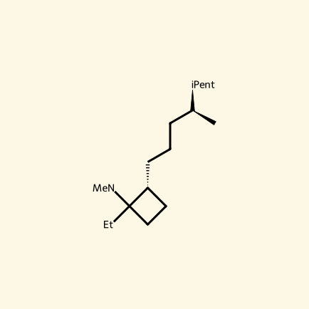 CCC[C@H](C)[C@@H](C)CCC[C@@H]1CCC1(CC)NC